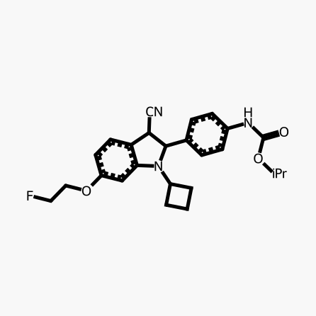 CC(C)OC(=O)Nc1ccc(C2C(C#N)c3ccc(OCCF)cc3N2C2CCC2)cc1